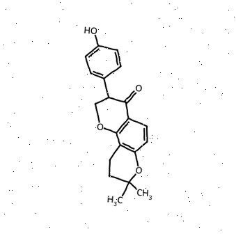 CC1(C)CCc2c(ccc3c2OCC(c2ccc(O)cc2)C3=O)O1